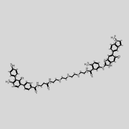 CCc1c(-c2ccc(C(=O)NCCC(=O)NCCOCCOCCOCCNC(=O)c3cc(Oc4nc5cc(-c6ccc7c(ccn7C)c6)c(Cl)cc5[nH]4)ccc3C)nc2)cnc(N)c1-c1ccc(O)cc1